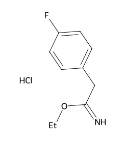 CCOC(=N)Cc1ccc(F)cc1.Cl